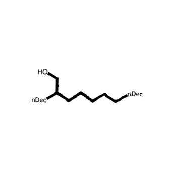 CCCCCCCCCCCCCCCC(CO)CCCCCCCCCC